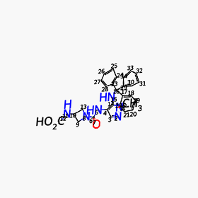 Cn1ncc(NC(=O)N2CC(NC(=O)O)C2)c1NC(c1ccccc1)(c1ccccc1)c1ccccc1